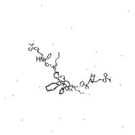 C=C(C)C(=O)OCCNC(=O)OCCN(CCCC)c1ccc2c(-c3ccccc3S(=O)(=O)O)c3cc/c(=[N+](/CCCC)CCOC(=O)NCCOC(=O)C(=C)C)cc-3oc2c1